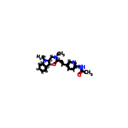 CC(=O)Nc1ccc(/C=C/C(=O)N(C)CC2Cc3ccccc3N2C)cn1